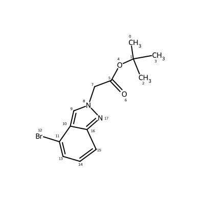 CC(C)(C)OC(=O)Cn1cc2c(Br)cccc2n1